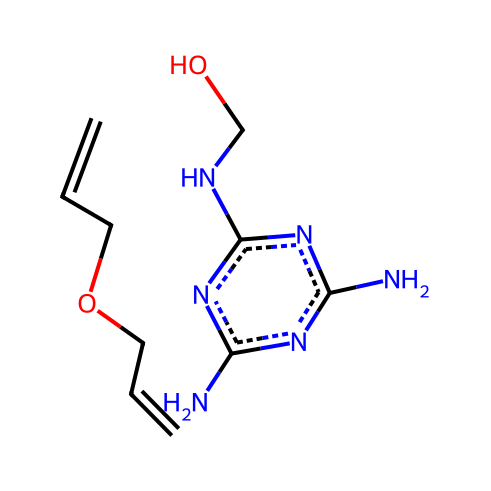 C=CCOCC=C.Nc1nc(N)nc(NCO)n1